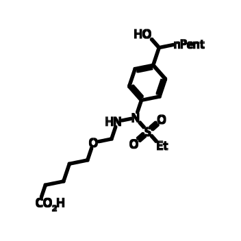 CCCCCC(O)c1ccc(N(NCOCCCCC(=O)O)S(=O)(=O)CC)cc1